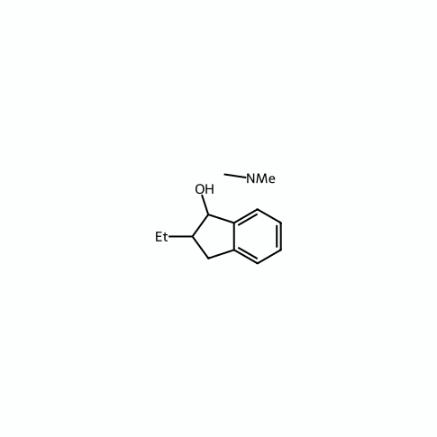 CCC1Cc2ccccc2C1O.CNC